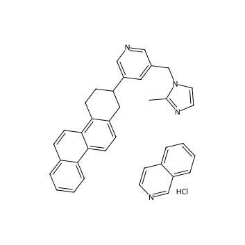 Cc1nccn1Cc1cncc(C2CCc3c(ccc4c3ccc3ccccc34)C2)c1.Cl.c1ccc2cnccc2c1